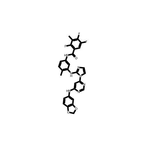 Cc1ccc(NC(=O)c2cc(F)c(F)c(C)c2F)cc1Nc1nccn1-c1cc(Nc2ccc3c(c2)OCO3)ncn1